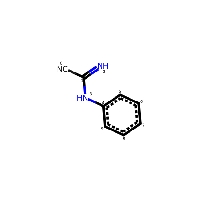 N#CC(=N)Nc1ccccc1